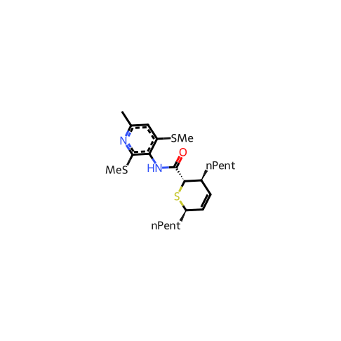 CCCCC[C@H]1C=C[C@@H](CCCCC)S[C@@H]1C(=O)Nc1c(SC)cc(C)nc1SC